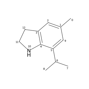 Cc1cc2c(c(C(C)C)c1)NCC2